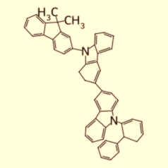 CC1(C)c2ccccc2-c2ccc(-n3c4c(c5ccccc53)C=C(c3ccc5c(c3)c3ccccc3n5C3=CC=CCC3c3ccccc3)CC4)cc21